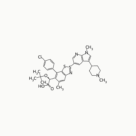 Cc1cc2c(c(-c3ccc(Cl)cc3)c1[C@H](OC(C)(C)C)C(=O)O)SS(c1cnc3c(c1)c(C1CCN(C)CC1)cn3C)=N2